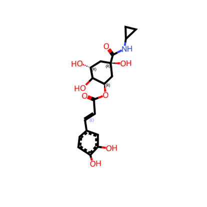 O=C(/C=C/c1ccc(O)c(O)c1)O[C@@H]1C[C@@](O)(C(=O)NC2CC2)C[C@@H](O)C1O